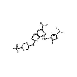 Cc1cn(C(F)F)nc1Nc1nc(C(F)F)cc2cnc(NC3CCN(S(C)(=O)=O)CC3)nc12